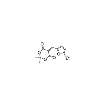 CCc1ccc(C=C2C(=O)OC(C)(C)OC2=O)o1